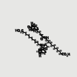 O=C(O)CCCCCCCCCCCNC(=O)C1(c2scc3[nH]cnc23)CCCO1.O=C(O)CCCCCCCCCCCNC(=O)CCCC[C@@H]1SC[C@@H]2NC(=O)N[C@@H]21